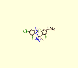 COc1cc(F)c(-c2c(C)nn(C)c2-n2cnc3cc(Cl)cc(F)c32)c(F)c1